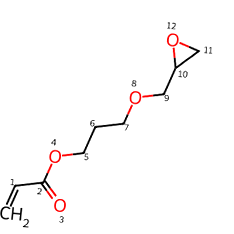 C=CC(=O)OCCCOCC1CO1